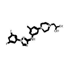 CCC(O)CN1CCN(c2cc(C)cc(Nc3ncn(-c4cc(F)cc(F)c4)n3)c2)CC1